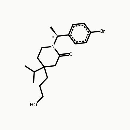 CC(C)C1(CCCO)CCN([C@@H](C)c2ccc(Br)cc2)C(=O)C1